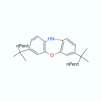 CCCCCC(C)(C)c1ccc2c(c1)Oc1cc(C(C)(C)CCCCC)ccc1N2